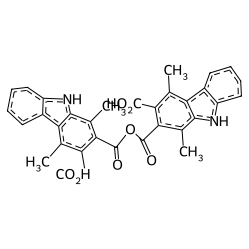 Cc1c(C(=O)OC(=O)c2c(C(=O)O)c(C)c3c([nH]c4ccccc43)c2C)c(C(=O)O)c(C)c2c1[nH]c1ccccc12